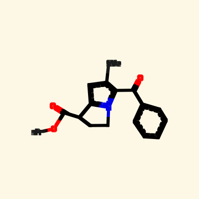 CCCOC(=O)C1CCn2c1cc(SC)c2C(=O)c1ccccc1